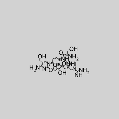 N=C(N)NC[C@H](O)C[C@](O)(C(=O)O)[C@H]1O[C@@H](n2cc(CO)c(N)nc2=O)C=C[C@@H]1NC(=O)[C@@H](N)CO